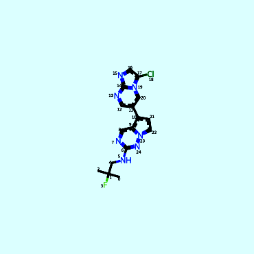 CC(C)(F)CNc1ncc2c(-c3cnc4ncc(Cl)n4c3)ccn2n1